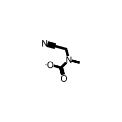 CN(CC#N)C([O])=O